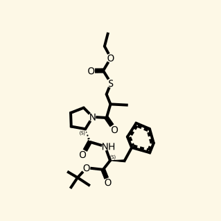 CCOC(=O)SCC(C)C(=O)N1CCC[C@H]1C(=O)N[C@@H](Cc1ccccc1)C(=O)OC(C)(C)C